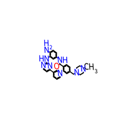 CN1CCN(Cc2ccc(C(=O)Nc3ccc(N)c(Nc4nccc(-c5cccnc5)n4)c3)cc2)CC1